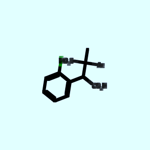 CC(=O)C(C)(C(C(=O)O)c1ccccc1F)S(=O)(=O)O